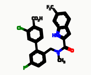 CN(Cc1ccc(F)cc1-c1ccc(C(=O)O)c(Cl)c1)C(=O)c1cc2ccc(C(F)(F)F)cc2[nH]1